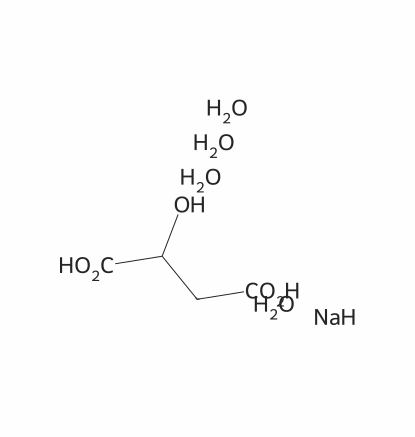 O.O.O.O.O=C(O)CC(O)C(=O)O.[NaH]